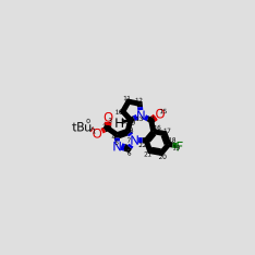 CC(C)(C)OC(=O)c1ncn2c1[C@@H]1CCCN1C(=O)c1cc(F)ccc1-2